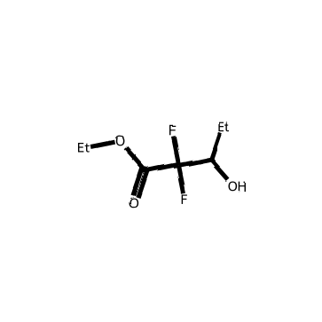 CCOC(=O)C(F)(F)C(O)CC